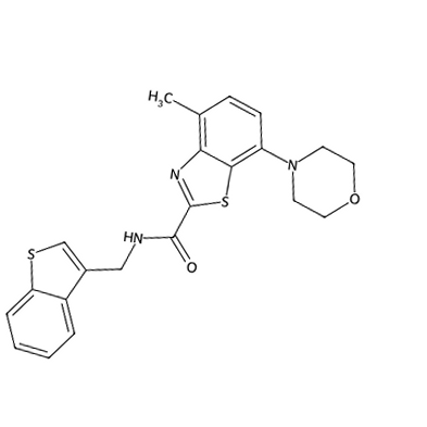 Cc1ccc(N2CCOCC2)c2sc(C(=O)NCc3csc4ccccc34)nc12